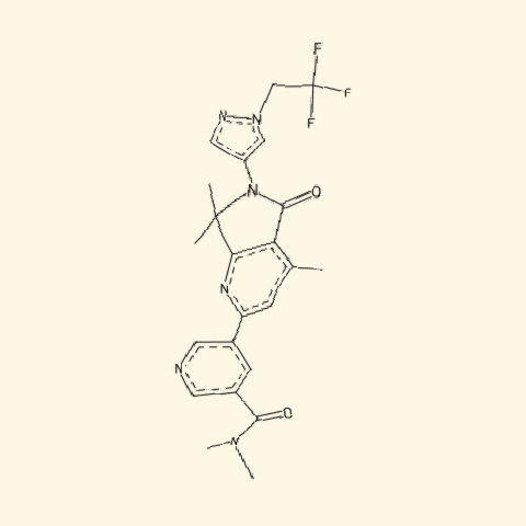 Cc1cc(-c2cncc(C(=O)N(C)C)c2)nc2c1C(=O)N(c1cnn(CC(F)(F)F)c1)C2(C)C